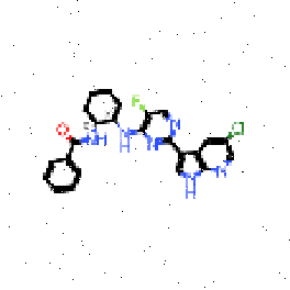 O=C(N[C@H]1CCCC[C@@H]1Nc1nc(-c2c[nH]c3ncc(Cl)cc23)ncc1F)c1ccccc1